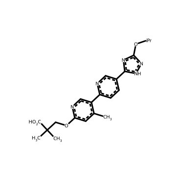 Cc1cc(OCC(C)(C)C(=O)O)ncc1-c1ccc(-c2nc(OC(C)C)n[nH]2)cn1